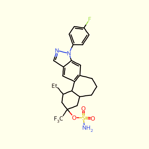 CCC1CC(OS(N)(=O)=O)(C(F)(F)F)CC2CCCc3cc4c(cnn4-c4ccc(F)cc4)cc3C12